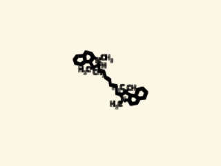 [2H]C1(/C=C/C=C/C=C/C=C2/N(C)c3ccc4ccccc4c3C2(C)C)N(C)c2ccc3ccccc3c2C1(C)C